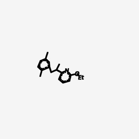 CCOc1cccc(C(C)Cc2cc(C)ccc2C)n1